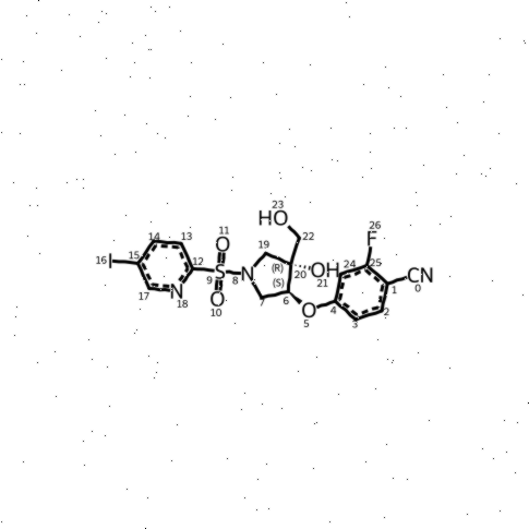 N#Cc1ccc(O[C@H]2CN(S(=O)(=O)c3ccc(I)cn3)C[C@@]2(O)CO)cc1F